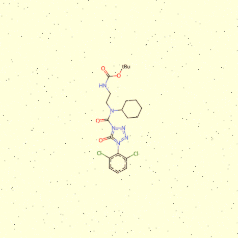 CC(C)(C)OC(=O)NCCN(C(=O)n1nnn(-c2c(Cl)cccc2Cl)c1=O)C1CCCCC1